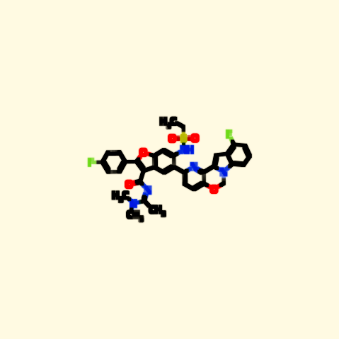 CCS(=O)(=O)Nc1cc2oc(-c3ccc(F)cc3)c(C(=O)/N=C(/C)N(C)C)c2cc1-c1ccc2c(n1)-c1cc3c(F)cccc3n1CO2